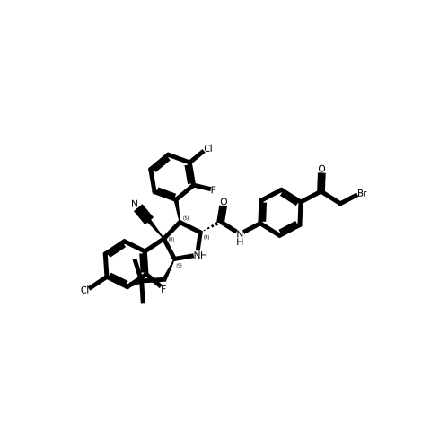 CC(C)(C)C[C@@H]1N[C@@H](C(=O)Nc2ccc(C(=O)CBr)cc2)[C@H](c2cccc(Cl)c2F)[C@@]1(C#N)c1ccc(Cl)cc1F